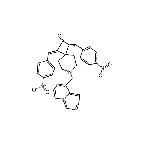 O=C1/C(=C/c2ccc([N+](=O)[O-])cc2)C2(CCN(Cc3cccc4ccccc34)CC2)/C1=C\c1ccc([N+](=O)[O-])cc1